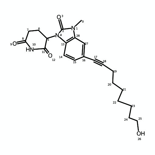 Cn1c(=O)n(C2CCC(=O)NC2=O)c2ccc(C#CCCCCCCCO)cc21